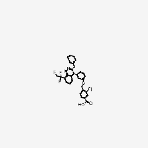 O=C(O)c1ccc(COc2cccc(-c3c(Cc4ccccc4)nnc4c(C(F)(F)CF)cccc34)c2)c(Cl)c1